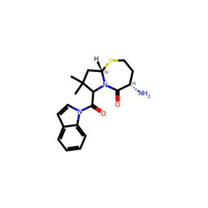 CC1(C)C[C@@H]2SCC[C@H](N)C(=O)N2C1C(=O)n1ccc2ccccc21